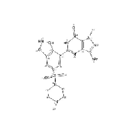 CCCc1nn(C)c2c(=O)[nH]c(-c3cc(S(=O)(=O)N4CCN(C)CC4)cc4c3ONO4)nc12